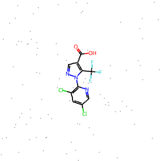 O=C(O)c1cnn(-c2ncc(Cl)cc2Cl)c1C(F)(F)F